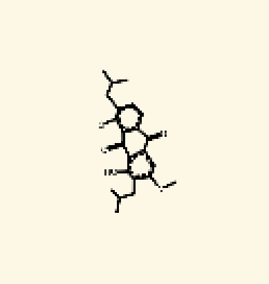 CNc1cc2c(c(O)c1CC(C)C)C(=O)c1c(ccc(CC(C)C)c1O)C2=O